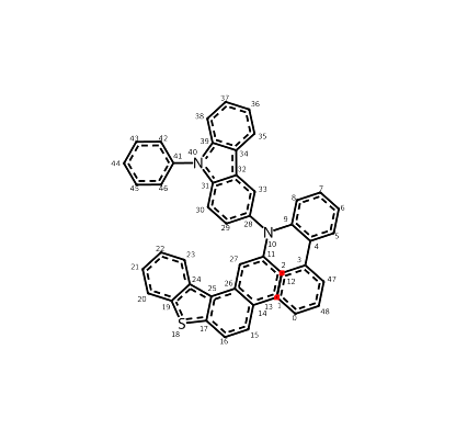 c1ccc(-c2ccccc2N(c2ccc3ccc4sc5ccccc5c4c3c2)c2ccc3c(c2)c2ccccc2n3-c2ccccc2)cc1